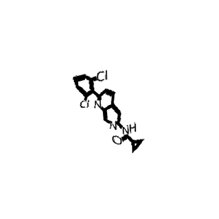 O=C(Nc1cc2ccc(-c3c(Cl)cccc3Cl)nc2cn1)C1CC1